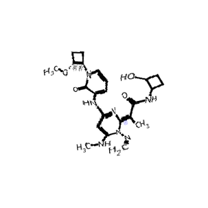 C=NN1C(NC)=CC(Nc2cccn([C@@H]3CC[C@H]3OC)c2=O)=N/C1=C(/C)C(=O)NC1CCC1O